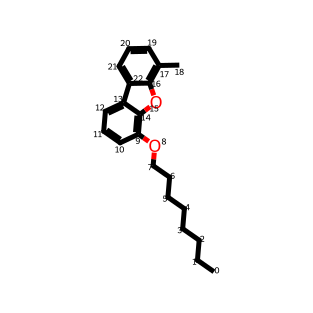 CCCCCCCCOc1cccc2c1oc1c(C)cccc12